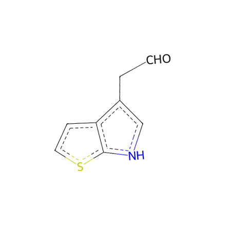 O=CCc1c[nH]c2sccc12